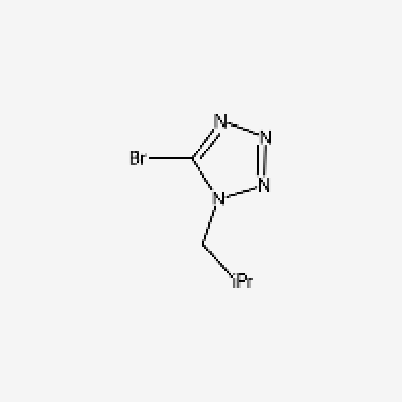 CC(C)Cn1nnnc1Br